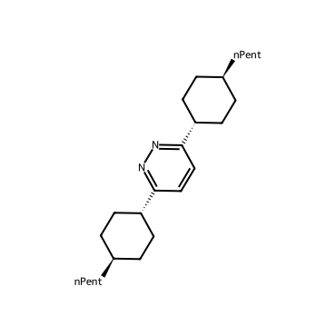 CCCCC[C@H]1CC[C@H](c2ccc([C@H]3CC[C@H](CCCCC)CC3)nn2)CC1